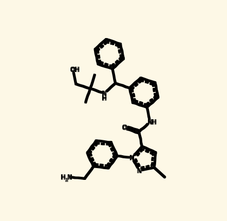 Cc1cc(C(=O)Nc2cccc(C(NC(C)(C)CO)c3ccccc3)c2)n(-c2cccc(CN)c2)n1